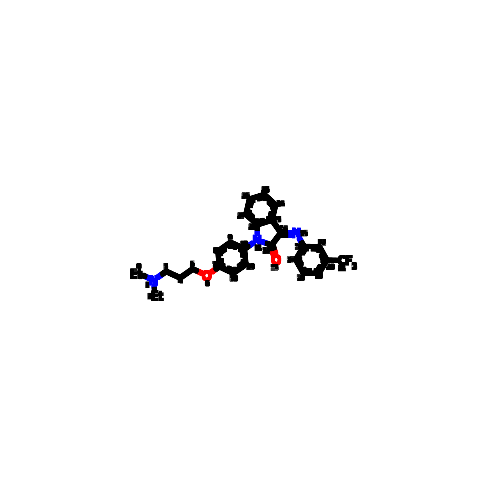 CCN(CC)CCCOc1ccc(N2C(=O)C(=Nc3cccc(C(F)(F)F)c3)c3ccccc32)cc1